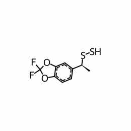 C[C@H](SS)c1ccc2c(c1)OC(F)(F)O2